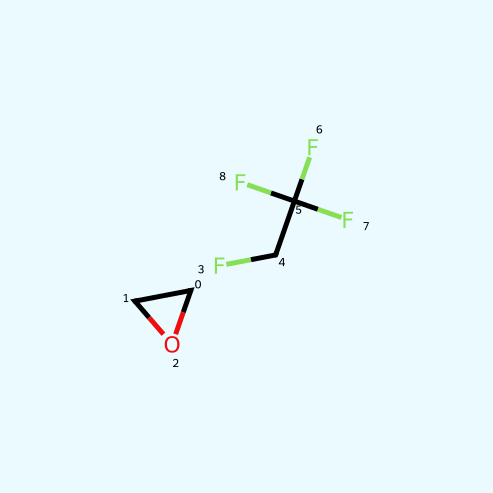 C1CO1.FCC(F)(F)F